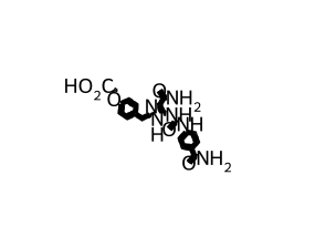 NC(=O)c1ccc(NC(=O)Nc2[nH]c(Cc3ccc(OCC(=O)O)cc3)nc2C(N)=O)cc1